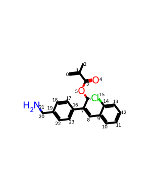 C=C(C)C(=O)OCC(=Cc1ccccc1Cl)c1ccc(CN)cc1